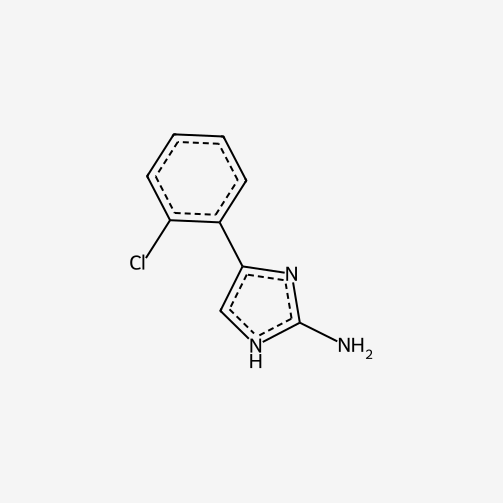 Nc1nc(-c2ccccc2Cl)c[nH]1